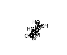 CC[C@]1(CO)OC2(C=C(C(=O)O)C(S(=O)(=O)Nc3ccc(Cl)cc3Br)CC2)O[C@@H]1CO